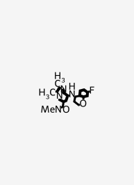 CNC(=O)c1cc(NC2CCOc3cc(F)ccc32)c2nc(C)c(C)n2c1